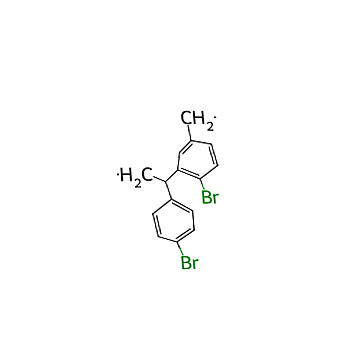 [CH2]c1ccc(Br)c(C([CH2])c2ccc(Br)cc2)c1